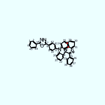 c1ccc(-c2nnc(-c3ccc(N(c4ccccc4)c4ccccc4-c4nc5ccccc5nc4-c4ccccc4)cc3)o2)cc1